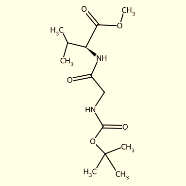 COC(=O)[C@@H](NC(=O)CNC(=O)OC(C)(C)C)C(C)C